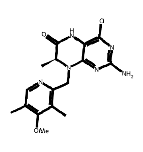 COc1c(C)cnc(CN2c3nc(N)nc(Cl)c3NC(=O)[C@@H]2C)c1C